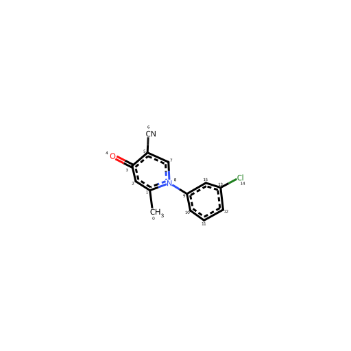 Cc1cc(=O)c(C#N)cn1-c1cccc(Cl)c1